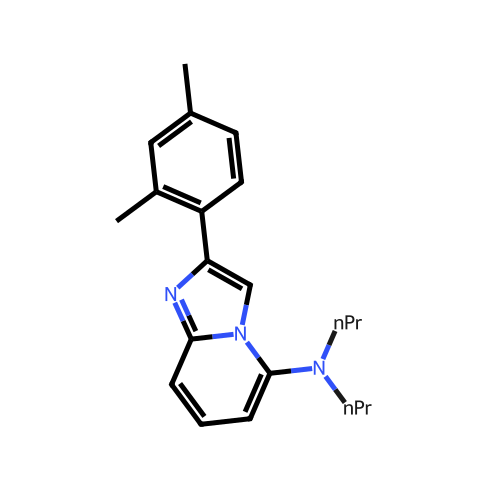 CCCN(CCC)c1cccc2nc(-c3ccc(C)cc3C)cn12